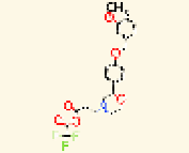 COc1cccc(COc2ccc(C3CN(CCC(=O)OC(=O)C(F)(F)F)CCO3)cc2)c1